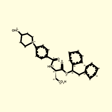 O=CC1CCN(c2ccc(C(=O)N[C@@H](CC(=O)O)C(=O)OC(Cc3ccccc3)c3ccccc3)cc2)CC1